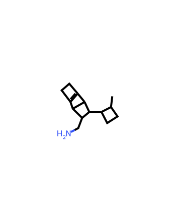 CC1CCC1C1C(CN)C2C3=C(CC3)C21